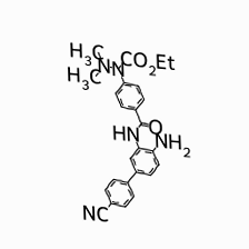 CCOC(=O)N(c1ccc(C(=O)Nc2cc(-c3ccc(C#N)cc3)ccc2N)cc1)N(C)C